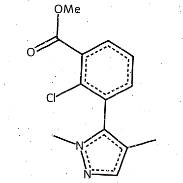 COC(=O)c1cccc(-c2c(C)cnn2C)c1Cl